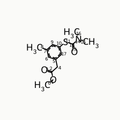 COC(=O)Cc1cc(C)cc(SC(=O)N(C)C)c1